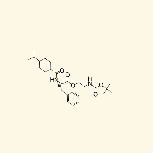 CC(C)C1CCC(C(=O)N[C@H](Cc2ccccc2)C(=O)OCCNC(=O)OC(C)(C)C)CC1